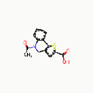 CC(=O)N1Cc2cc(C(=O)O)sc2-c2ccccc21